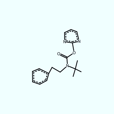 CC(C)(C)N(CCc1ccccc1)C(=O)Oc1ncccn1